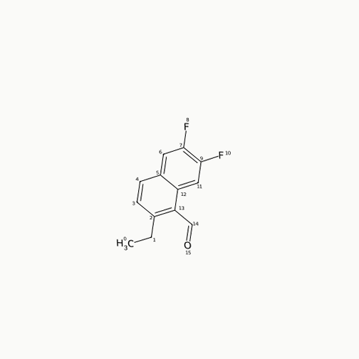 CCc1ccc2cc(F)c(F)cc2c1C=O